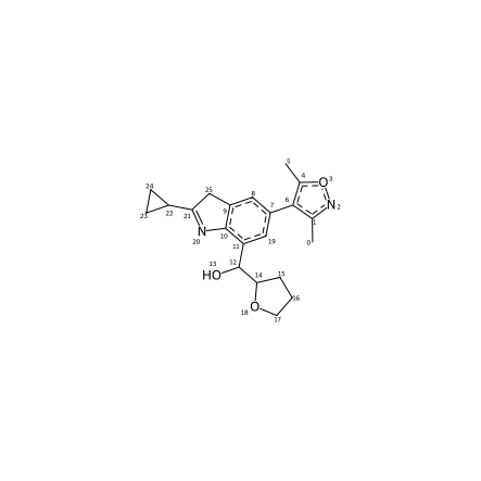 Cc1noc(C)c1-c1cc2c(c(C(O)C3CCCO3)c1)N=C(C1CC1)C2